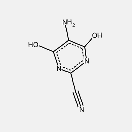 N#Cc1nc(O)c(N)c(O)n1